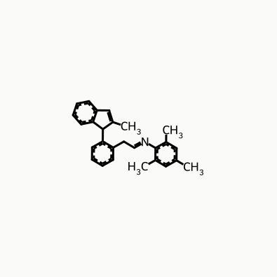 CC1=Cc2ccccc2C1c1ccccc1CC=Nc1c(C)cc(C)cc1C